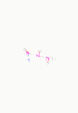 CC(=O)N(CCCCCCCC(=O)N(CCCCCCCC(=O)N(CCCCC#N)OCc1ccccc1)OCc1ccccc1)OCc1ccccc1